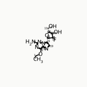 CCOc1nc(N)nn2c([C@@H]3O[C@H](CO)[C@@H](O)[C@H]3F)cnc12